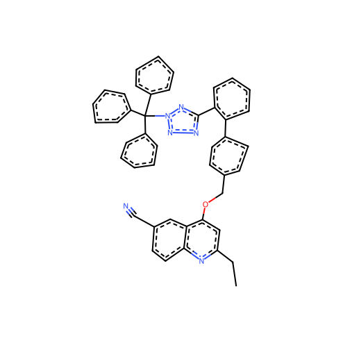 CCc1cc(OCc2ccc(-c3ccccc3-c3nnn(C(c4ccccc4)(c4ccccc4)c4ccccc4)n3)cc2)c2cc(C#N)ccc2n1